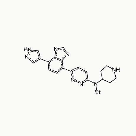 CCN(c1ccc(-c2ccc(-c3cn[nH]c3)c3ncsc23)nn1)C1CCNCC1